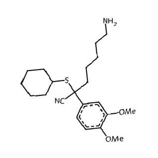 COc1ccc(C(C#N)(CCCCCN)SC2CCCCC2)cc1OC